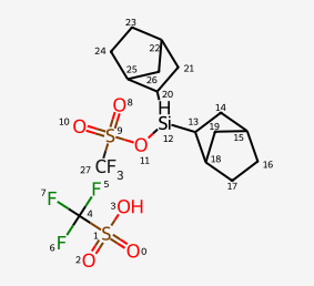 O=S(=O)(O)C(F)(F)F.O=S(=O)(O[SiH](C1CC2CCC1C2)C1CC2CCC1C2)C(F)(F)F